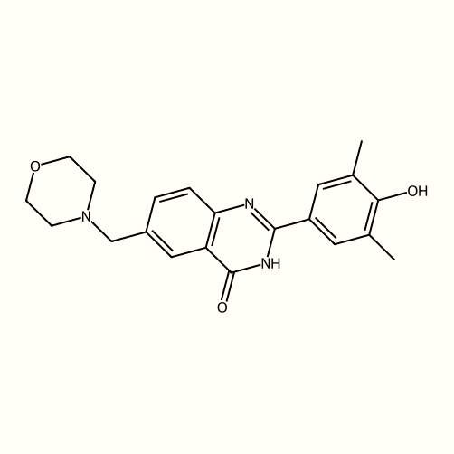 Cc1cc(-c2nc3ccc(CN4CCOCC4)cc3c(=O)[nH]2)cc(C)c1O